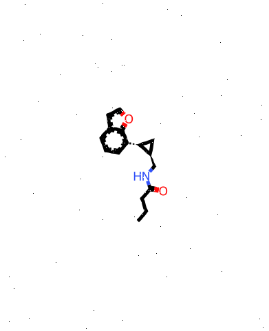 CCCC(=O)NC[C@@H]1C[C@H]1c1cccc2ccoc12